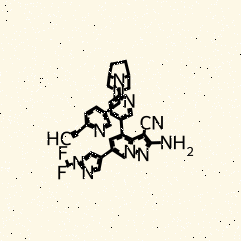 C#Cc1ccc(CN2CC3CCC(C2)N3c2ccc(-c3cc(-c4cnn(C(F)F)c4)cn4nc(N)c(C#N)c34)cn2)cn1